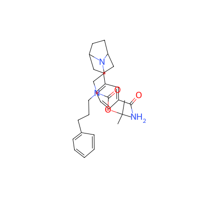 CC(C)(C)OC(=O)N(CCCc1ccccc1)CCN1C2CCC1CC(c1cccc(C(N)=O)c1)C2